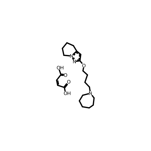 O=C(O)/C=C\C(=O)O.c1c(OCCCCN2CCCCCC2)nn2c1CCCC2